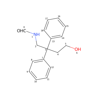 O=CNCC(CCO)(c1ccccc1)c1ccccc1